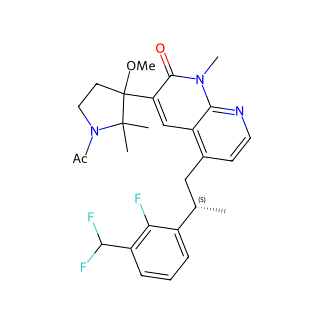 COC1(c2cc3c(C[C@H](C)c4cccc(C(F)F)c4F)ccnc3n(C)c2=O)CCN(C(C)=O)C1(C)C